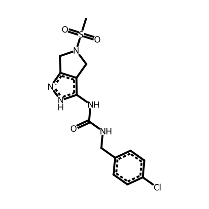 CS(=O)(=O)N1Cc2n[nH]c(NC(=O)NCc3ccc(Cl)cc3)c2C1